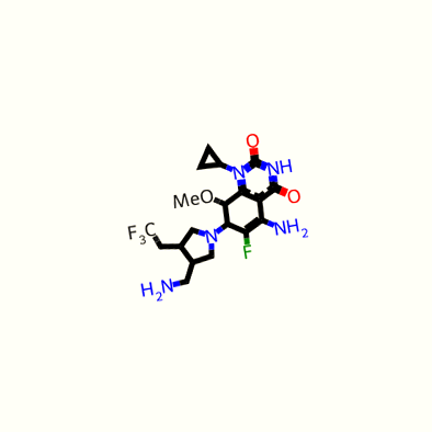 COC1c2c(c(=O)[nH]c(=O)n2C2CC2)C(N)=C(F)C1N1CC(CN)C(CC(F)(F)F)C1